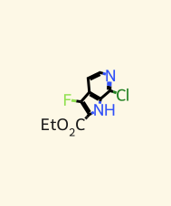 CCOC(=O)c1[nH]c2c(Cl)nccc2c1F